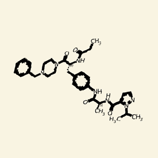 CCC(=O)N[C@H](Cc1ccc(NC(=O)[C@H](C)NC(=O)c2ccnn2C(C)C)cc1)C(=O)N1CCN(Cc2ccccc2)CC1